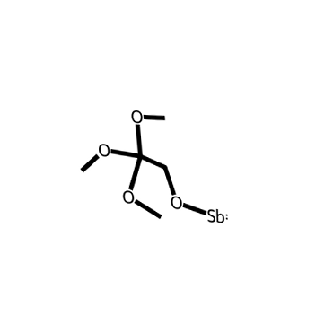 COC(C[O][Sb])(OC)OC